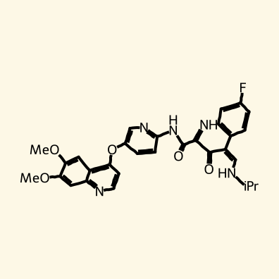 COc1cc2nccc(Oc3ccc(NC(=O)C(=N)C(=O)/C(=C\NC(C)C)c4ccc(F)cc4)nc3)c2cc1OC